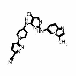 Cc1cnc2ccc(Nc3ncc(Cl)c(NC4CCN(c5ccc(C#N)nn5)CC4)n3)cn12